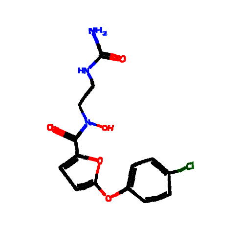 NC(=O)NCCN(O)C(=O)c1ccc(Oc2ccc(Cl)cc2)o1